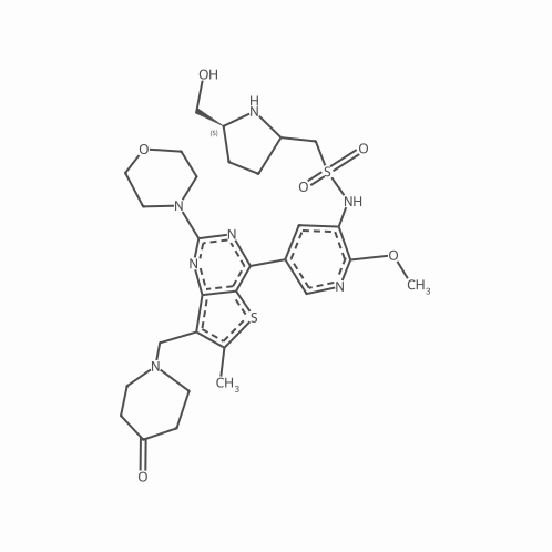 COc1ncc(-c2nc(N3CCOCC3)nc3c(CN4CCC(=O)CC4)c(C)sc23)cc1NS(=O)(=O)CC1CC[C@@H](CO)N1